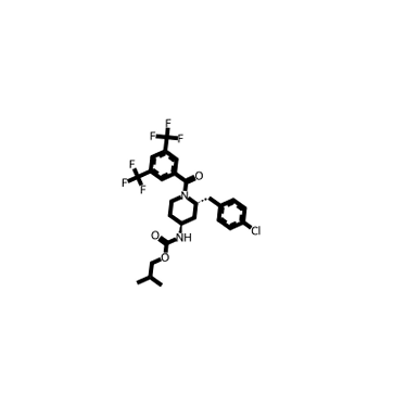 CC(C)COC(=O)N[C@H]1CCN(C(=O)c2cc(C(F)(F)F)cc(C(F)(F)F)c2)[C@H](Cc2ccc(Cl)cc2)C1